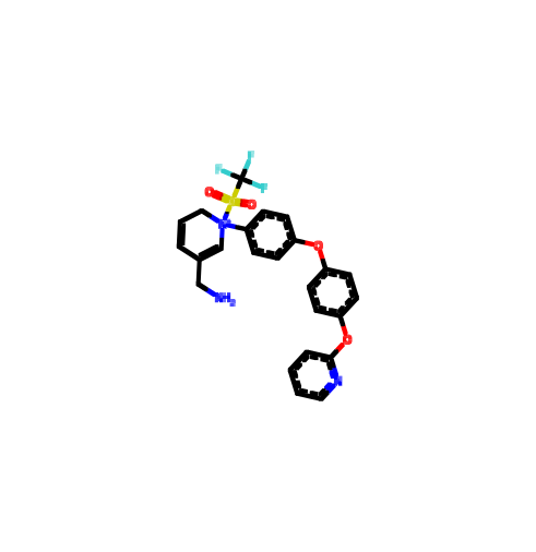 NCC1=C[N+](c2ccc(Oc3ccc(Oc4ccccn4)cc3)cc2)(S(=O)(=O)C(F)(F)F)CC=C1